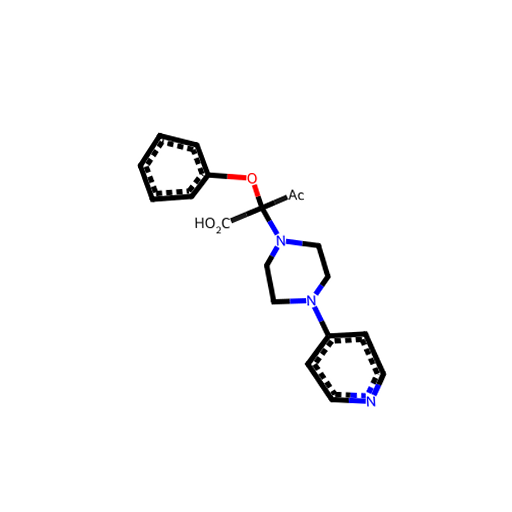 CC(=O)C(Oc1ccccc1)(C(=O)O)N1CCN(c2ccncc2)CC1